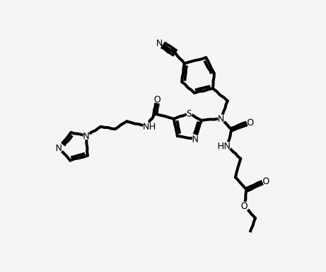 CCOC(=O)CCNC(=O)N(Cc1ccc(C#N)cc1)c1ncc(C(=O)NCCCn2ccnc2)s1